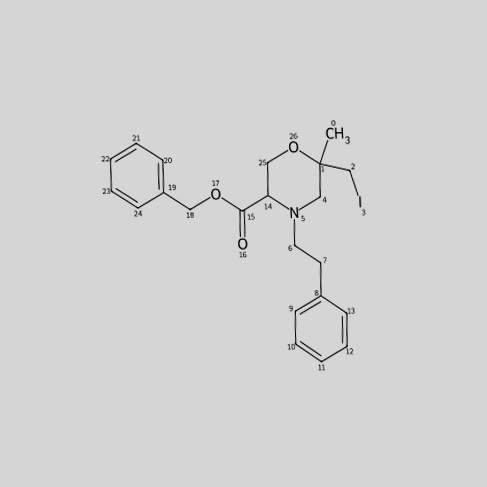 CC1(CI)CN(CCc2ccccc2)C(C(=O)OCc2ccccc2)CO1